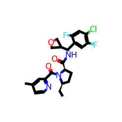 CC[C@@H]1CC[C@H](C(=O)NC(c2cc(F)c(Cl)cc2F)C2COC2)N1C(=O)c1cc(C)ccn1